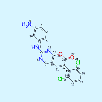 Nc1cccc(Nc2ncc3cc(-c4c(Cl)cccc4Cl)c(=O)oc3n2)c1